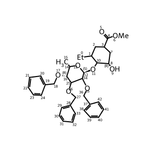 CCC1CC(C(=O)OC)C[C@@H](O)C1O[C@@H]1OC(C)[C@@H](OCc2ccccc2)C(OCc2ccccc2)C1OCc1ccccc1